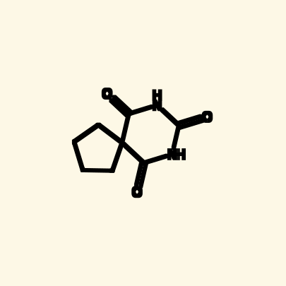 O=C1NC(=O)C2(CCCC2)C(=O)N1